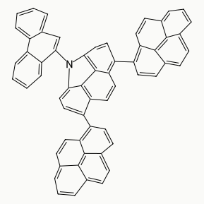 c1ccc2c(c1)cc(-n1c3ccc(-c4ccc5ccc6cccc7ccc4c5c67)c4ccc5c(-c6ccc7ccc8cccc9ccc6c7c89)ccc1c5c43)c1ccccc12